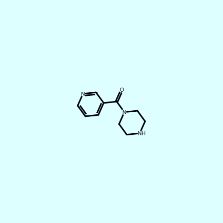 O=C(c1[c]nccc1)N1CCNCC1